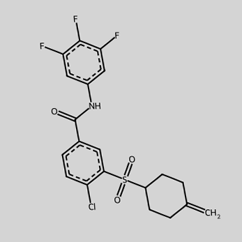 C=C1CCC(S(=O)(=O)c2cc(C(=O)Nc3cc(F)c(F)c(F)c3)ccc2Cl)CC1